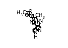 CCS(=O)(=O)N1CC([C@@H](C)C#N)(n2cc(-c3c(C#N)cnc4[nH]ccc34)cn2)C1